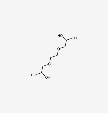 OC(O)COCCOCC(O)O